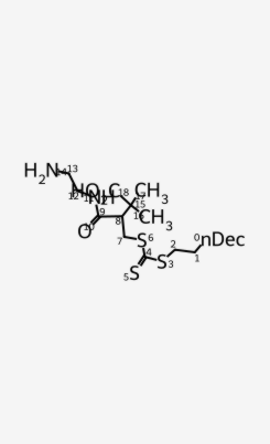 CCCCCCCCCCCCSC(=S)SCC(C(=O)NCCN)C(C)(C)C(=O)O